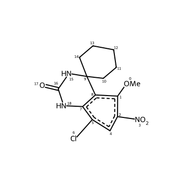 COc1c([N+](=O)[O-])cc(Cl)c2c1C1(CCCCC1)NC(=O)N2